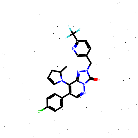 CC1CC=CN1c1c(-c2ccc(Cl)cc2)cnn2c(=O)n(Cc3ccc(C(F)(F)F)nc3)nc12